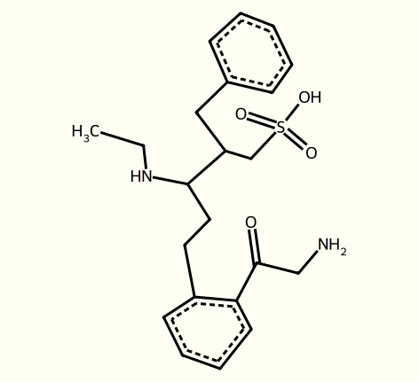 CCNC(CCc1ccccc1C(=O)CN)C(Cc1ccccc1)CS(=O)(=O)O